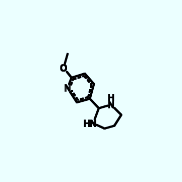 COc1ccc(C2NCCCN2)cn1